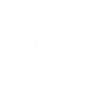 CC(C)C[CH]C(=O)OC(C)(C)C